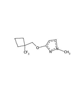 Cn1ccc(OCC2(C(F)(F)F)CCC2)n1